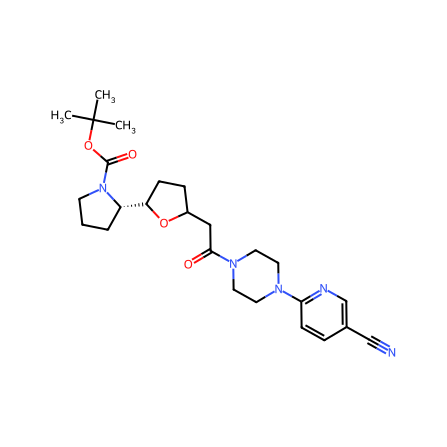 CC(C)(C)OC(=O)N1CCC[C@H]1C1CCC(CC(=O)N2CCN(c3ccc(C#N)cn3)CC2)O1